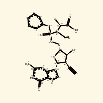 C#C[C@@H]1[C@H](O)[C@@H](CO[P@@](=O)(Oc2ccccc2)N(CC)[C@@H](C)C(=O)O)O[C@H]1n1cnc2c(=O)[nH]c(N)nc21